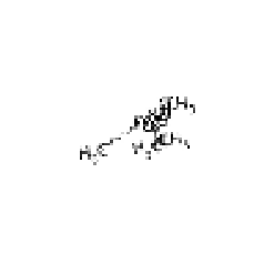 CCCCCCCCCOC(=O)CN(CC(=O)OC)C(=O)SCCN(C)C